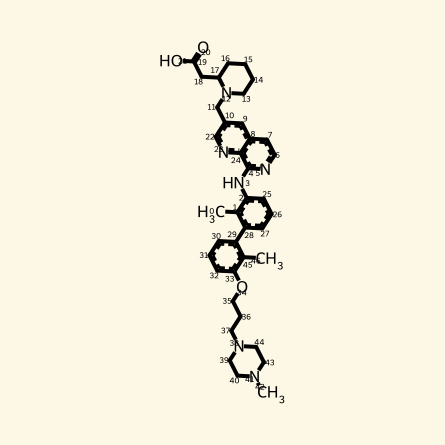 Cc1c(Nc2nccc3cc(CN4CCCCC4CC(=O)O)cnc23)cccc1-c1cccc(OCCCN2CCN(C)CC2)c1C